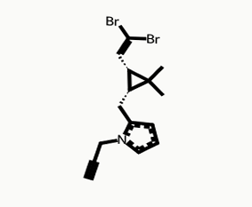 C#CCn1cccc1C[C@@H]1[C@H](C=C(Br)Br)C1(C)C